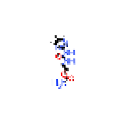 NC(=O)OCCNC(=O)Nc1ncccn1